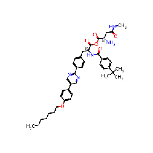 CCCCCCCOc1ccc(-c2cnc(-c3ccc(C[C@H](NC(=O)c4ccc(C(C)(C)C)cc4)C(=O)OC(=O)[C@@H](N)CC(=O)NC)cc3)nc2)cc1